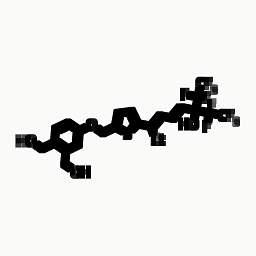 CC/C(=C\C=C\C(O)(C(F)(F)C(F)(F)F)C(F)(F)C(F)(F)F)c1ccc(COc2ccc(CO)c(CO)c2)s1